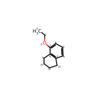 CCOc1cccc2c1CCCC2